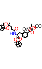 CCOC(=O)OC(C)OC(=O)c1cccc(CC(NC(=O)CCC2(C)OC3CC4CC(C4(C)C)C3(C)O2)B2OC3CC4CC(C4(C)C)C3(C)O2)c1OC